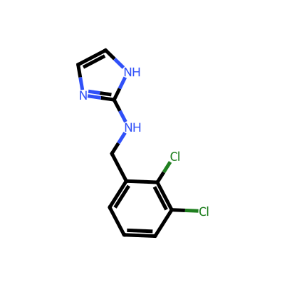 Clc1cccc(CNc2ncc[nH]2)c1Cl